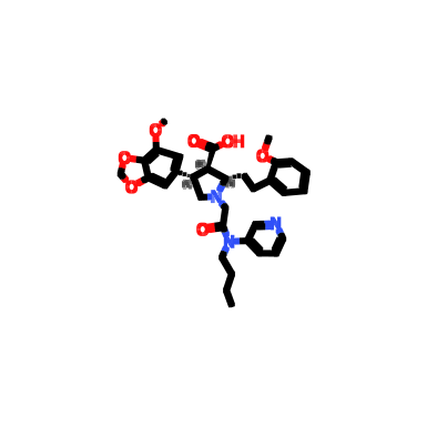 CCCCN(C(=O)CN1C[C@H](c2cc(OC)c3c(c2)OCO3)[C@@H](C(=O)O)[C@@H]1CCc1ccccc1OC)c1cccnc1